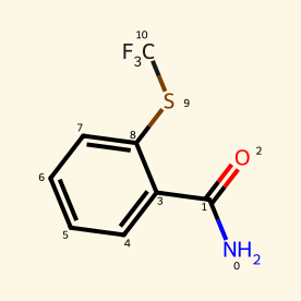 NC(=O)c1ccccc1SC(F)(F)F